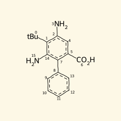 CC(C)(C)c1c(N)cc(C(=O)O)c(-c2ccccc2)c1N